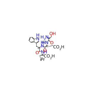 CC(C)C[C@H](NC(=O)[C@@H](Cc1c[nH]c2ccccc12)NC(=O)[C@@H](CCC(=O)O)NC(=O)[C@H](N)CO)C(=O)O